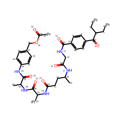 CC(C)CC(CC(C)C)C(=O)c1ccc(C(=O)NCC(=O)NC(C)CCC(=O)NC(C(=O)NC(C)C(=O)Nc2ccc(COC(=O)C(C)C)cc2)C(C)C)cc1